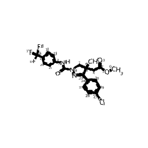 COC(=O)CC1(C)CN(C(=O)Nc2ccc(C(F)(F)F)cc2)N=C1c1ccc(Cl)cc1